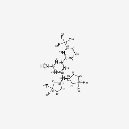 Nc1nc(-c2cncc(C(F)(F)F)n2)nc(N([C@H]2CCC(F)(F)C2)[C@H]2CCC(F)(F)C2)n1